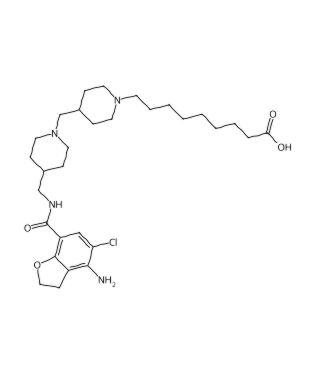 Nc1c(Cl)cc(C(=O)NCC2CCN(CC3CCN(CCCCCCCCC(=O)O)CC3)CC2)c2c1CCO2